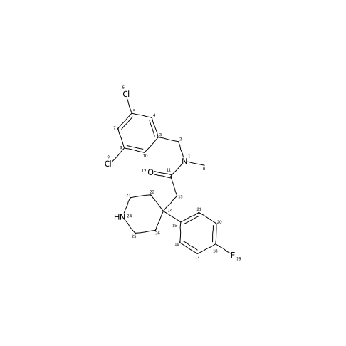 CN(Cc1cc(Cl)cc(Cl)c1)C(=O)CC1(c2ccc(F)cc2)CCNCC1